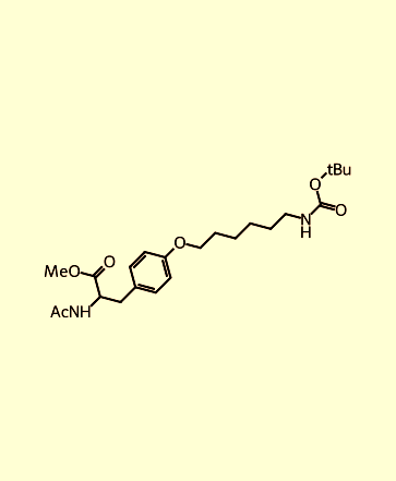 COC(=O)C(Cc1ccc(OCCCCCCNC(=O)OC(C)(C)C)cc1)NC(C)=O